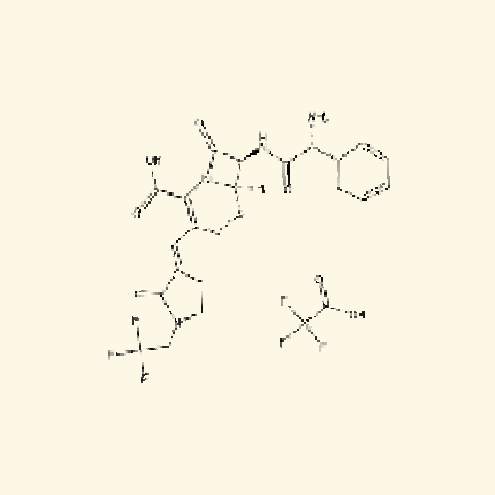 N[C@@H](C(=O)N[C@@H]1C(=O)N2C(C(=O)O)=C(/C=C3\CCN(CC(F)(F)F)C3=O)CS[C@H]12)c1ccccc1.O=C(O)C(F)(F)F